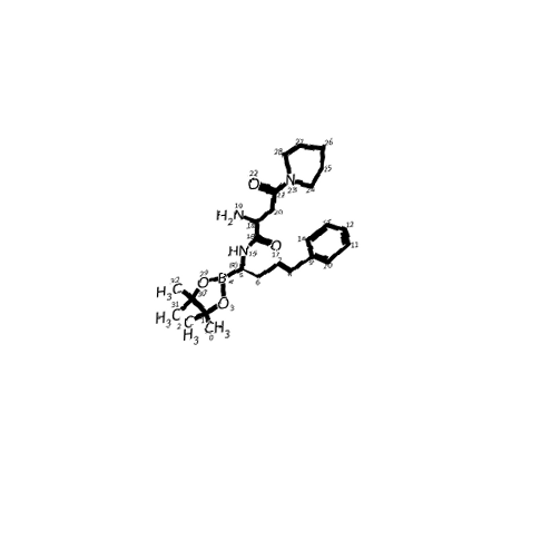 CC1(C)OB([C@H](CCCc2ccccc2)NC(=O)C(N)CC(=O)N2CCCCC2)OC1(C)C